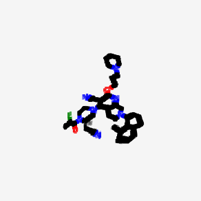 C=C(F)C(=O)N1CCN(c2c(C#N)c(OCCCN3CCCCC3)nc3c2CCN(c2cccc4cccc(C)c24)C3)C[C@@H]1CC#N